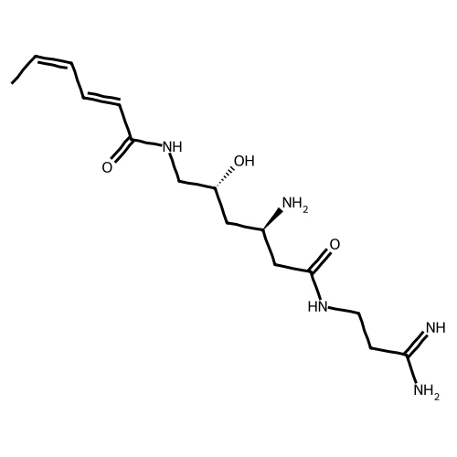 C/C=C\C=C\C(=O)NC[C@H](O)C[C@@H](N)CC(=O)NCCC(=N)N